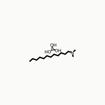 CCCCCCCCCCCCN(C)C.OB(O)O